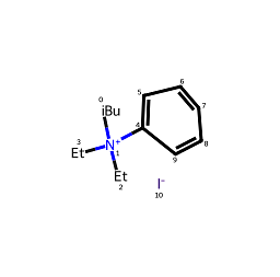 CCC(C)[N+](CC)(CC)c1ccccc1.[I-]